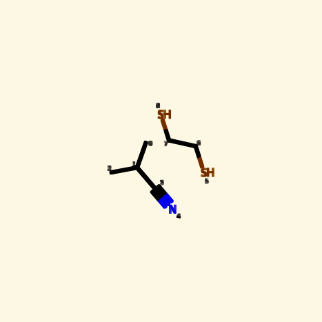 CC(C)C#N.SCCS